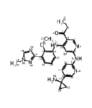 CCC(=O)c1cnc(Nc2ccc(C3(N)CC3)cn2)cc1Nc1cccc(-c2ncn(C)n2)c1OC